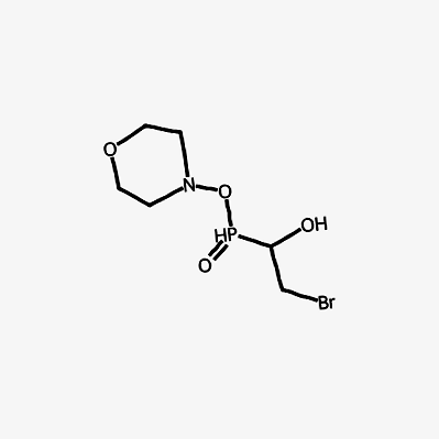 O=[PH](ON1CCOCC1)C(O)CBr